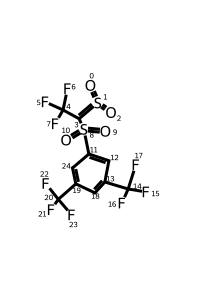 O=S(=O)=C(C(F)(F)F)S(=O)(=O)c1cc(C(F)(F)F)cc(C(F)(F)F)c1